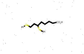 CC(C)SCCC(CCCCC(=O)O)SC(C)C